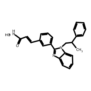 CC(Cn1c(-c2cccc(C=CC(=O)NO)c2)nc2ccccc21)c1ccccc1